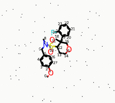 COc1ccc(CN(C)S(=O)(=O)C2CCOCC2(C)c2ccccc2F)cc1